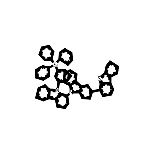 c1ccc([Si](c2ccccc2)(c2ccccc2)c2cccc(-n3c4ccccc4c4cccc(-n5c6ccccc6c6cc(-c7cccc8c7sc7ccccc78)ccc65)c43)c2)cc1